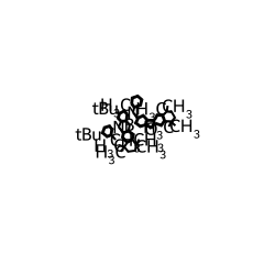 Cc1cc(C(C)(C)C)ccc1N1c2cc3c(cc2B2c4cc5oc6cc7c(cc6c5cc4N(c4ccccc4C)c4cc(C(C)(C)C)cc1c42)C(C)(C)CCC7(C)C)C(C)(C)CCC3(C)C